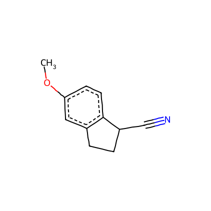 COc1ccc2c(c1)CCC2C#N